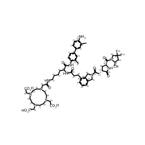 Cc1cc(-c2ccc(NC(=O)C(CCCCNC(=O)CN3CCN(CC(=O)O)CCN(CC(=O)O)CCN(CC(=O)O)CC3)NC(=O)CCc3cccc4c3CN(C(=O)C[C@@H]3C[C@@H](C(=O)N5CC(F)(F)C[C@H]5C#N)NC3=O)C4)c(C)c2)ccc1N